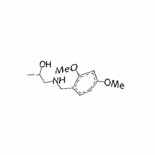 COc1ccc(CNCC(C)O)c(OC)c1